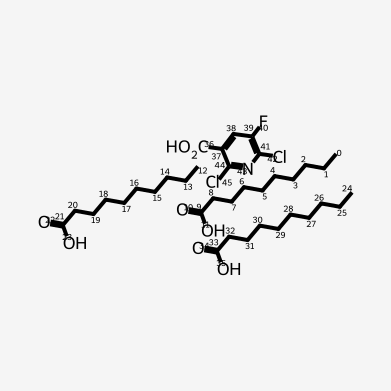 CCCCCCCCCC(=O)O.CCCCCCCCCC(=O)O.CCCCCCCCCC(=O)O.O=C(O)c1cc(F)c(Cl)nc1Cl